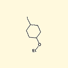 CCOC1CCC(I)CC1